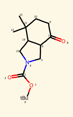 CC(C)(C)OC(=O)N1CC2C(=O)CCC(C)(C)C2C1